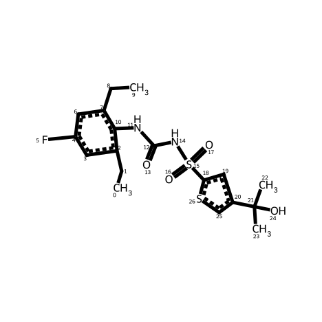 CCc1cc(F)cc(CC)c1NC(=O)NS(=O)(=O)c1cc(C(C)(C)O)cs1